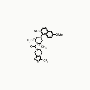 COc1ccc2c(N3C[C@@H](C)N(C(=O)N4CCn5c(nnc5C(F)(F)F)C4)[C@H](C)C3)c(C#N)cnc2c1